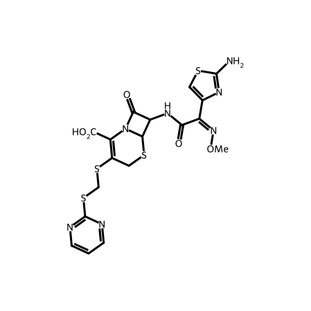 CO/N=C(\C(=O)NC1C(=O)N2C(C(=O)O)=C(SCSc3ncccn3)CSC12)c1csc(N)n1